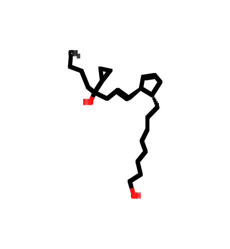 CCCCC(O)(C/C=C/[C@H]1C=CC[C@@H]1CCCCCCCCO)C1CC1